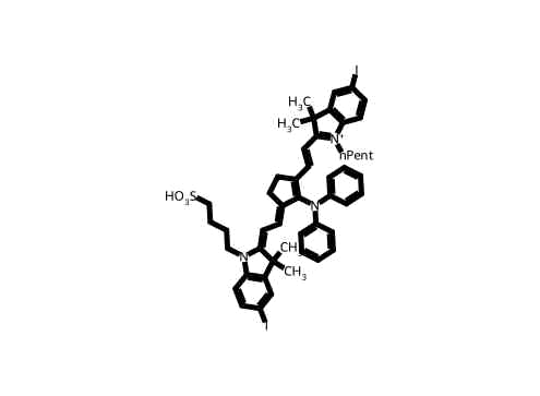 CCCCC[N+]1=C(/C=C/C2=C(N(c3ccccc3)c3ccccc3)C(=C/C=C3/N(CCCCS(=O)(=O)O)c4ccc(I)cc4C3(C)C)/CC2)C(C)(C)c2cc(I)ccc21